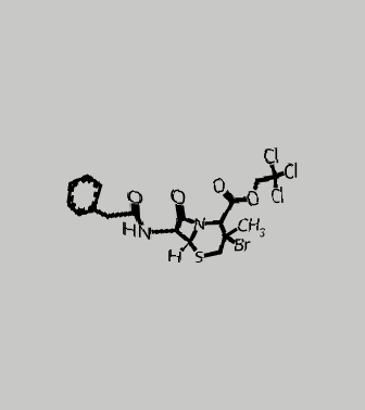 CC1(Br)CS[C@@H]2C(NC(=O)Cc3ccccc3)C(=O)N2C1C(=O)OCC(Cl)(Cl)Cl